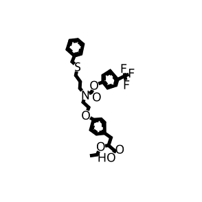 CCOC(Cc1ccc(OCCN(CCCSCc2ccccc2)C(=O)Oc2ccc(C(F)(F)F)cc2)cc1)C(=O)O